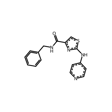 O=C(NCC1=C=C=CC=C1)c1csc(Nc2ccncc2)n1